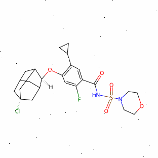 O=C(NS(=O)(=O)N1CCOCC1)c1cc(C2CC2)c(O[C@H]2C3CC4CC2C[C@](Cl)(C4)C3)cc1F